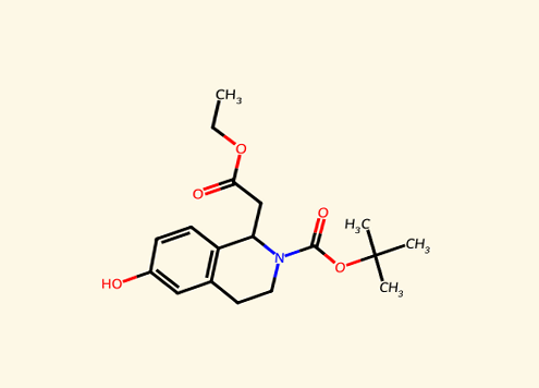 CCOC(=O)CC1c2ccc(O)cc2CCN1C(=O)OC(C)(C)C